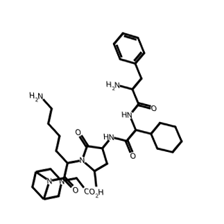 CC1CC(NC(=O)C(NC(=O)C(N)Cc2ccccc2)C2CCCCC2)C(=O)N1C(CCCCN)C(=O)N1C2CC1CN(CC(=O)O)C2